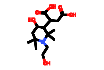 CC1(C)CC(O)C(C(CC(=O)O)C(=O)O)C(C)(C)N1CCO